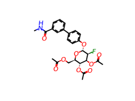 CNC(=O)c1cccc(-c2ccc(O[C@H]3O[C@H](COC(C)=O)[C@@H](OC(C)=O)[C@H](OC(C)=O)[C@@H]3F)cc2)c1